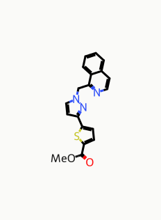 COC(=O)c1ccc(-c2ccn(Cc3nccc4ccccc34)n2)s1